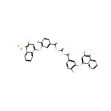 Cc1ccc(C(=O)NC(=O)NC(=O)c2ccc(C)c(Nc3cc(O)c(S(=O)(=O)O)c4ccccc34)c2)cc1Nc1cc(O)c(S(=O)(=O)O)c2ccccc12